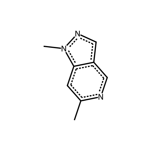 Cc1cc2c(cn1)cnn2C